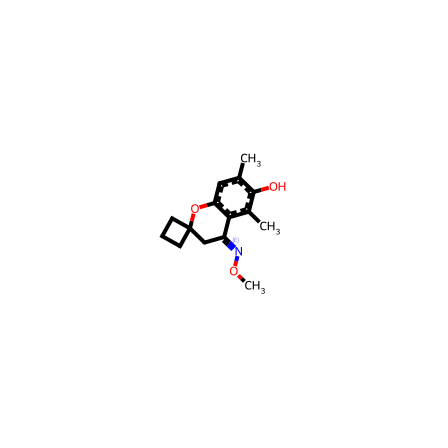 CO/N=C1\CC2(CCC2)Oc2cc(C)c(O)c(C)c21